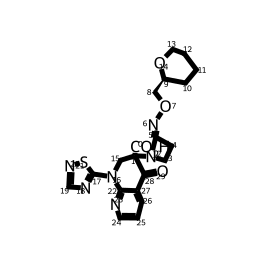 O=C(O)C1(N2CCC2=NOC[C@@H]2CCCCO2)CN(c2ncns2)c2ncccc2C1=O